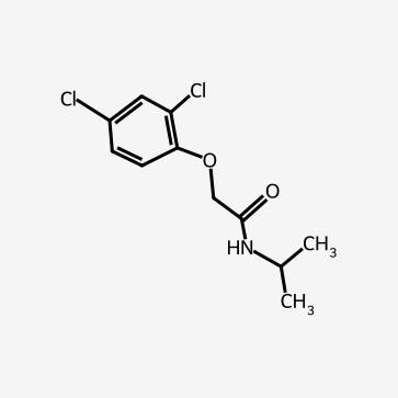 CC(C)NC(=O)COc1ccc(Cl)cc1Cl